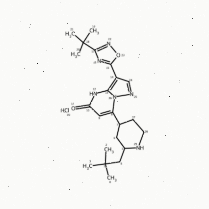 CC(C)(C)CC1CC(c2cc(=O)[nH]c3c(-c4nc(C(C)(C)C)no4)cnn23)CCN1.Cl